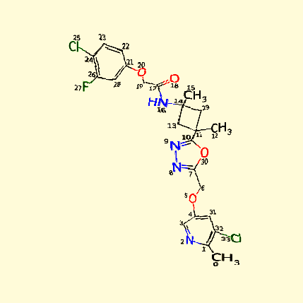 Cc1ncc(OCc2nnc(C3(C)CC(C)(NC(=O)COc4ccc(Cl)c(F)c4)C3)o2)cc1Cl